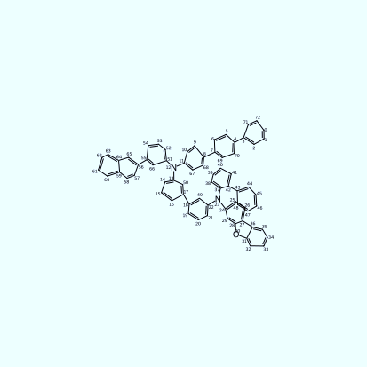 c1ccc(-c2ccc(-c3ccc(N(c4cccc(-c5cccc(N(c6ccc7c(c6)oc6ccccc67)c6ccccc6-c6ccccc6)c5)c4)c4cccc(-c5ccc6ccccc6c5)c4)cc3)cc2)cc1